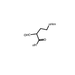 CCCCCCCCC([C]=O)C(=O)CCC